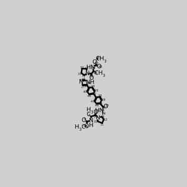 COC(=O)N[C@@H](C)C(=O)N1CCC[C@H]1CNC(=O)c1ccc(-c2ccc(-c3cnc([C@@H]4CCCN4C(=O)[C@H](C)NC(=O)OC)[nH]3)cc2)cc1